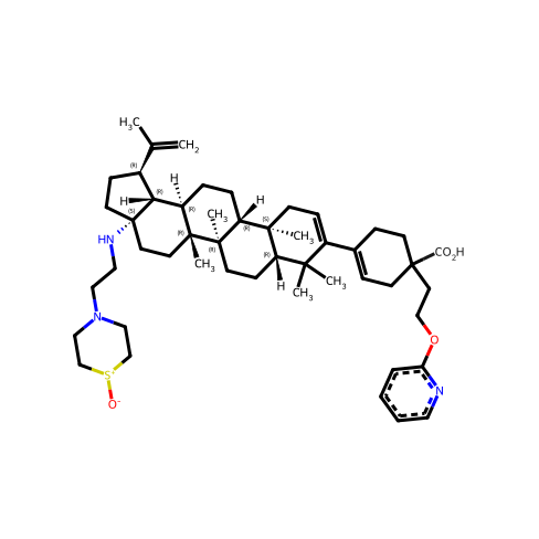 C=C(C)[C@@H]1CC[C@]2(NCCN3CC[S+]([O-])CC3)CC[C@]3(C)[C@H](CC[C@@H]4[C@@]5(C)CC=C(C6=CCC(CCOc7ccccn7)(C(=O)O)CC6)C(C)(C)[C@@H]5CC[C@]43C)[C@@H]12